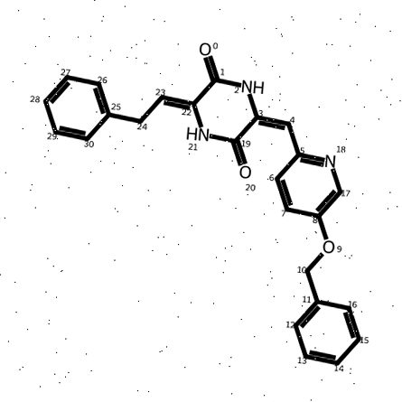 O=c1[nH]/c(=C/c2ccc(OCc3ccccc3)cn2)c(=O)[nH]/c1=C\Cc1ccccc1